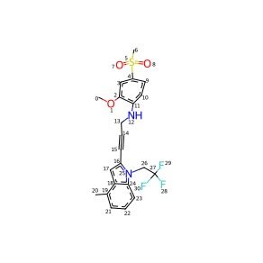 COc1cc(S(C)(=O)=O)ccc1NCC#Cc1cc2c(C)cccc2n1CC(F)(F)F